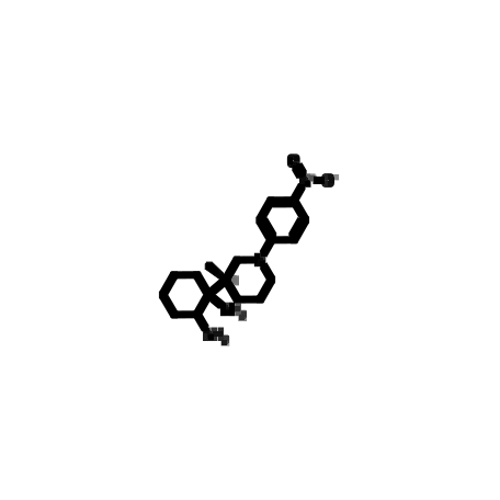 C[C@]1(C2(N)CCCCC2N)CCCN(c2ccc([N+](=O)[O-])cc2)C1